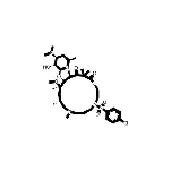 CO[C@]1(C)C[C@@H](C)CN(C)CCCN(S(=O)(=O)c2ccc(Cl)cc2)CCOC(=O)C(C)(C)C(=O)[C@H](C)[C@H]1O[C@@H]1O[C@H](C)C[C@H](N(C)C)[C@H]1O